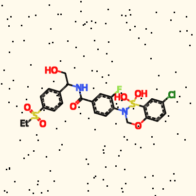 CCS(=O)(=O)c1ccc(C(CO)NC(=O)c2ccc(N3COc4ccc(Cl)cc4S3(O)O)c(F)c2)cc1